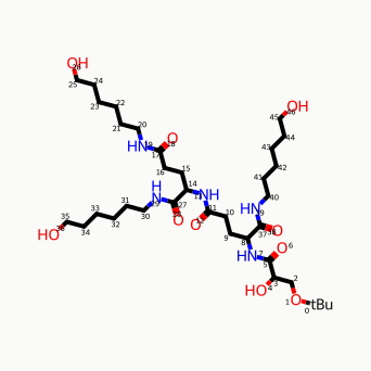 CC(C)(C)OCC(O)C(=O)NC(CCC(=O)NC(CCC(=O)NCCCCCCO)C(=O)NCCCCCCO)C(=O)NCCCCCCO